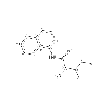 CCC(C)[C@H](N)C(=O)Nc1cccc2cnccc12